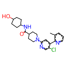 Cc1cccnc1-c1cc(N2CCC(C(=O)NC3CCC(O)CC3)CC2)ncc1Cl